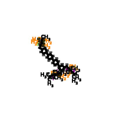 CC(C)C(P)(I)C(C)(C)C(P)(I)Cc1cc(CC(P)(I)C(C)(C)C(P)(I)C(C)C)cc(-c2ccc(-c3ccc(-c4ccc(CC(F)(P)C(F)(P)C(C)(P)P)cc4)cc3)cc2)c1